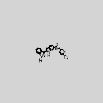 O=C(NCc1ccc(Cl)nc1)c1ccc2cc(-c3n[nH]c4ccccc34)[nH]c2c1